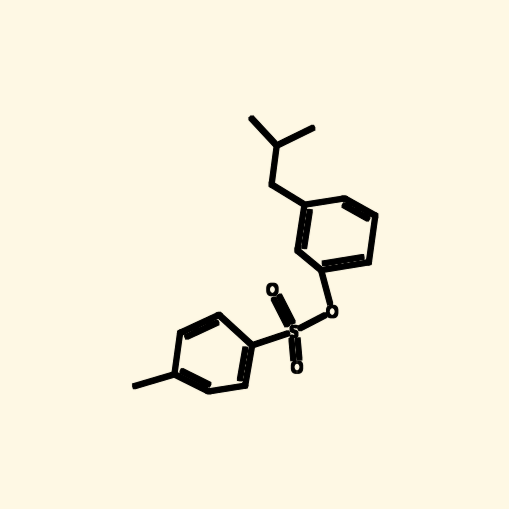 Cc1ccc(S(=O)(=O)Oc2cccc(CC(C)C)c2)cc1